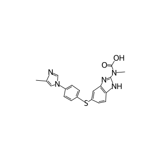 Cc1cn(-c2ccc(Sc3ccc4[nH]c(N(C)C(=O)O)nc4c3)cc2)cn1